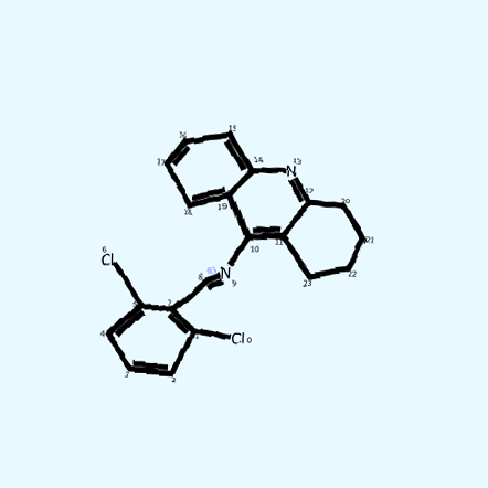 Clc1cccc(Cl)c1/C=N/c1c2c(nc3ccccc13)CCCC2